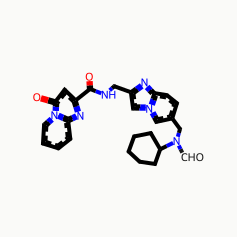 O=CN(Cc1ccc2nc(CNC(=O)c3cc(=O)n4ccccc4n3)cn2c1)C1CCCCC1